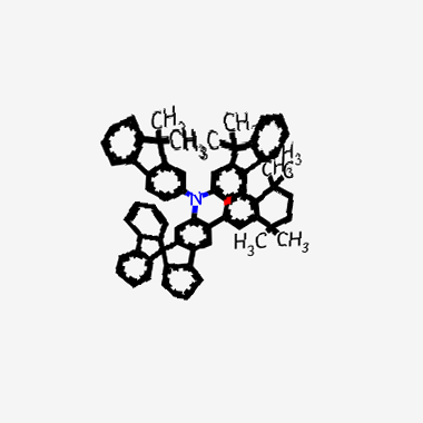 CC1(C)CCC(C)(C)c2cc(-c3cc4c(cc3N(c3ccc5c(c3)C(C)(C)c3ccccc3-5)c3ccc5c(c3)C(C)(C)c3ccccc3-5)C3(c5ccccc5-4)c4ccccc4C4C=CC=CC43)ccc21